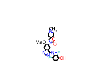 COc1cc2ncnc(Nc3c(F)ccc(O)c3F)c2cc1N1CC2(CCN(C)CC2)OC1=O